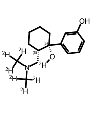 [2H]O[C@@]1(c2cccc(O)c2)CCCC[C@H]1CN(C([2H])([2H])[2H])C([2H])([2H])[2H]